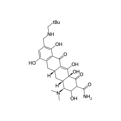 CN(C)[C@@H]1C(O)C(C(N)=O)C(=O)[C@@]2(O)C(O)=C3C(=O)c4c(O)c(CNCC(C)(C)C)cc(O)c4C[C@H]3C[C@@H]12